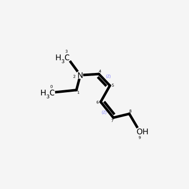 CCN(C)/C=C\C=C/CO